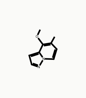 COc1c(C)ccn2nccc12